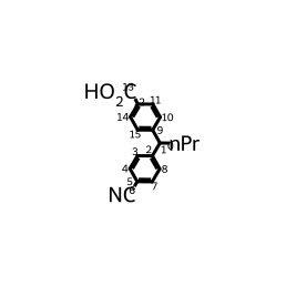 CCCC(c1ccc(C#N)cc1)c1ccc(C(=O)O)cc1